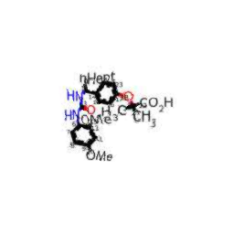 CCCCCCCC(NC(=O)Nc1ccc(OC)cc1OC)c1ccc(OC(C)(C)C(=O)O)cc1